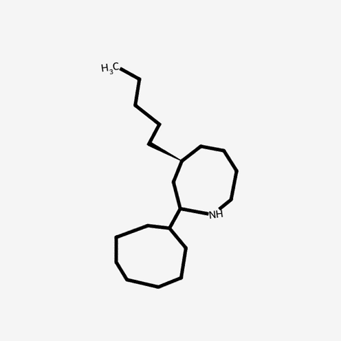 CCCCC[C@H]1CCCCNC(C2CCCCCCC2)C1